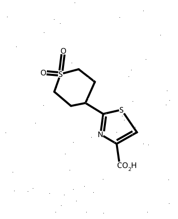 O=C(O)c1csc(C2CCS(=O)(=O)CC2)n1